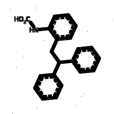 O=C(O)Nc1ccccc1CC(c1ccccc1)c1ccccc1